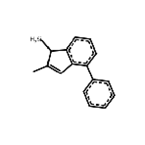 CC1=Cc2c(-c3ccccc3)cccc2C1[SiH3]